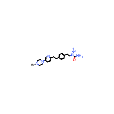 CC(=O)N1CCN(c2ccc(CCc3ccc(CCN(N)C(N)=O)cc3)nc2)CC1